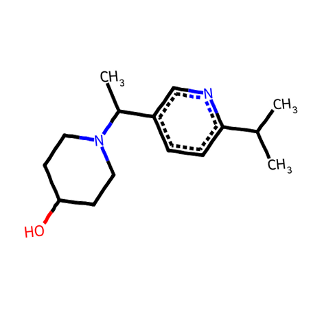 CC(C)c1ccc(C(C)N2CCC(O)CC2)cn1